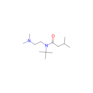 CC(C)CC(=O)N(CCN(C)C)C(C)(C)C